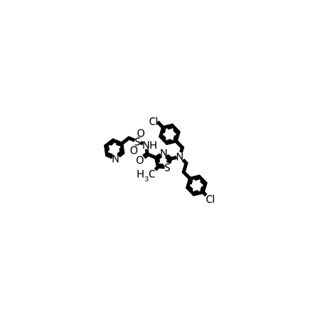 Cc1sc(N(CCc2ccc(Cl)cc2)Cc2ccc(Cl)cc2)nc1C(=O)NS(=O)(=O)Cc1cccnc1